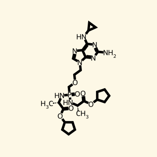 C[C@H](NP(=O)(COCCn1cnc2c(NC3CC3)nc(N)nc21)N[C@@H](C)C(=O)OC1CCCC1)C(=O)OC1CCCC1